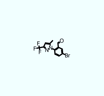 Cc1cc(C(F)(F)F)nn1-c1ccc(Br)cc1C=O